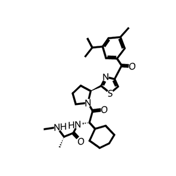 CN[C@@H](C)C(=O)N[C@H](C(=O)N1CCC[C@H]1c1nc(C(=O)c2cc(C)cc(C(C)C)c2)cs1)C1CCCCC1